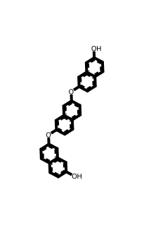 Oc1ccc2ccc(Oc3ccc4ccc(Oc5ccc6ccc(O)cc6c5)cc4c3)cc2c1